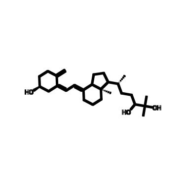 C=C1CC[C@H](O)C/C1=C/C=C1\CCC[C@@]2(C)C1CCC2[C@H](C)CCC(O)C(C)(C)O